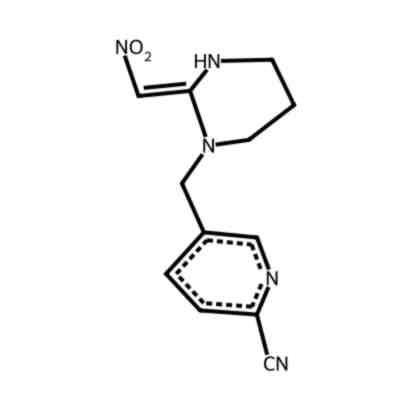 N#Cc1ccc(CN2CCCNC2=C[N+](=O)[O-])cn1